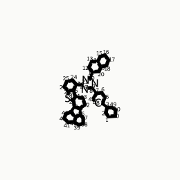 c1ccc(-c2ccc(-c3nc(-c4ccc5ccccc5c4)nc(-c4cccc5sc6c7c(ccc6c45)-c4cccc5cccc-7c45)n3)cc2)cc1